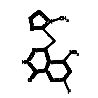 Cn1ccnc1Cc1n[nH]c(=O)c2cc(F)cc([N+](=O)[O-])c12